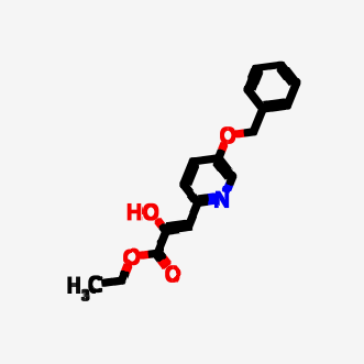 CCOC(=O)C(O)=Cc1ccc(OCc2ccccc2)cn1